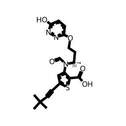 C[C@@H](CCOc1ccc(O)nn1)N(C=O)c1cc(C#CC(C)(C)C)sc1C(=O)O